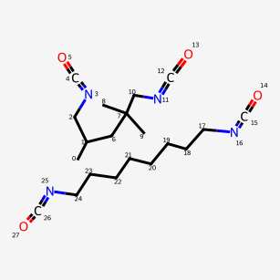 CC(CN=C=O)CC(C)(C)CN=C=O.O=C=NCCCCCCCCN=C=O